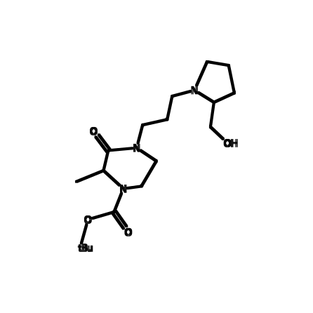 CC1C(=O)N(CCCN2CCCC2CO)CCN1C(=O)OC(C)(C)C